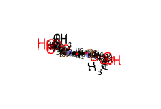 CCOC(Cc1ccc(OC/C=C/C#Cc2ccc(C#C/C=C/COc3ccc(CC(OCC)C(=O)O)cc3Br)cc2)c(Br)c1)C(=O)O